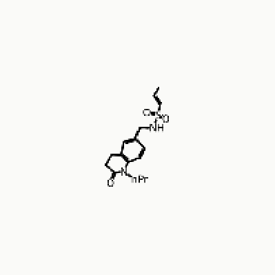 CC=CS(=O)(=O)NCc1ccc2c(c1)CCC(=O)N2CCC